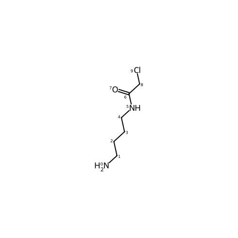 NCCCCNC(=O)CCl